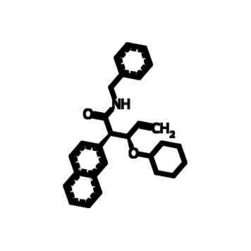 C=C[C@@H](OC1CCCCC1)[C@H](C(=O)NCc1ccccc1)c1ccc2ccccc2c1